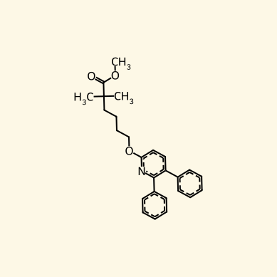 COC(=O)C(C)(C)CCCCOc1ccc(-c2ccccc2)c(-c2ccccc2)n1